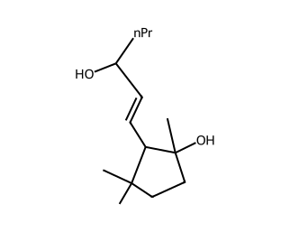 CCCC(O)C=CC1C(C)(C)CCC1(C)O